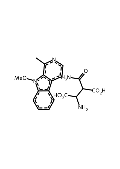 COn1c2ccccc2c2ccnc(C)c21.NC(=O)C(C(=O)O)C(N)C(=O)O